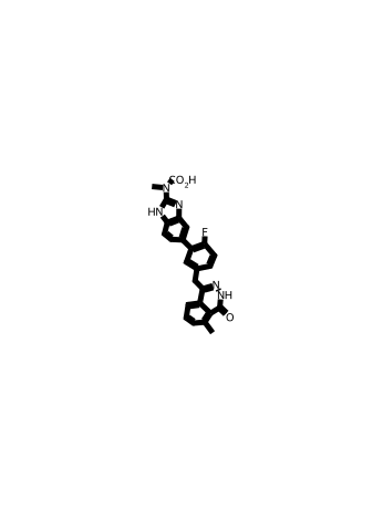 Cc1cccc2c(Cc3ccc(F)c(-c4ccc5[nH]c(N(C)C(=O)O)nc5c4)c3)n[nH]c(=O)c12